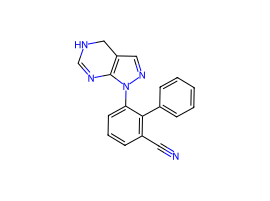 N#Cc1cccc(-n2ncc3c2N=CNC3)c1-c1ccccc1